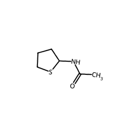 CC(=O)NC1CCCS1